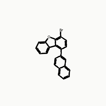 Brc1ccc(-c2ccc3ccccc3c2)c2c1oc1ccccc12